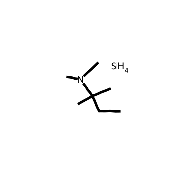 CCC(C)(C)N(C)C.[SiH4]